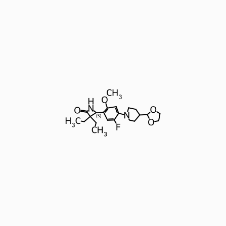 CCC1(CC)C(=O)N[C@H]1c1cc(F)c(N2CCC(C3OCCO3)CC2)cc1OC